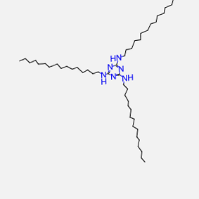 CCCCCCCCCCCCCCCCNc1nc(NCCCCCCCCCCCCCCCC)nc(NCCCCCCCCCCCCCCCC)n1